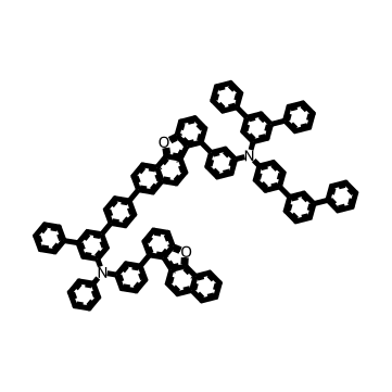 c1ccc(-c2cccc(-c3ccc(N(c4cc(-c5ccccc5)cc(-c5ccccc5)c4)c4cccc(-c5cccc6oc7c8ccc(-c9ccc(-c%10cc(-c%11ccccc%11)cc(N(c%11ccccc%11)c%11cccc(-c%12cccc%13oc%14c%15ccccc%15ccc%14c%12%13)c%11)c%10)cc9)cc8ccc7c56)c4)cc3)c2)cc1